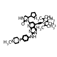 CC(C)[Si](C#Cc1cc(N2C(=O)NCC2C2CCCC2)nc2nc(Nc3ccc(N4CCN(C)CC4)cc3)ncc12)(C(C)C)C(C)C